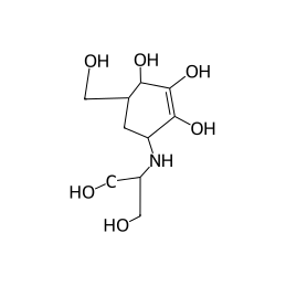 OCC(CO)NC1CC(CO)C(O)C(O)=C1O